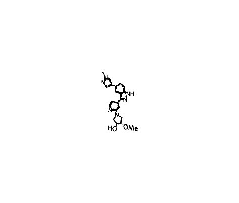 CO[C@H]1CN(c2cc(-c3n[nH]c4ccc(-c5cnn(C)c5)cc34)ccn2)C[C@@H]1O